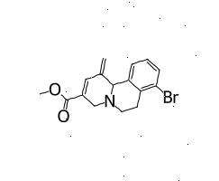 C=C1C=C(C(=O)OC)CN2CCc3c(Br)cccc3C12